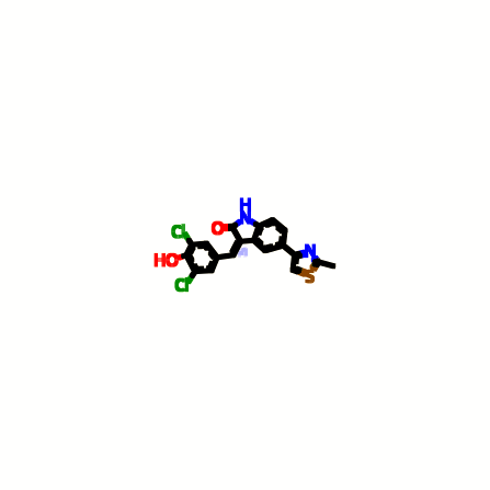 Cc1nc(-c2ccc3c(c2)/C(=C/c2cc(Cl)c(O)c(Cl)c2)C(=O)N3)cs1